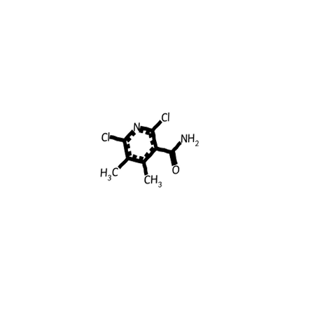 Cc1c(Cl)nc(Cl)c(C(N)=O)c1C